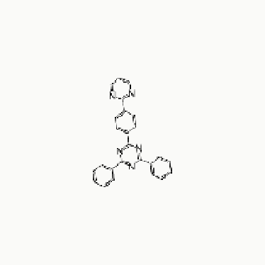 c1ccc(-c2nc(-c3ccccc3)nc(-c3ccc(-c4ncccn4)cc3)n2)cc1